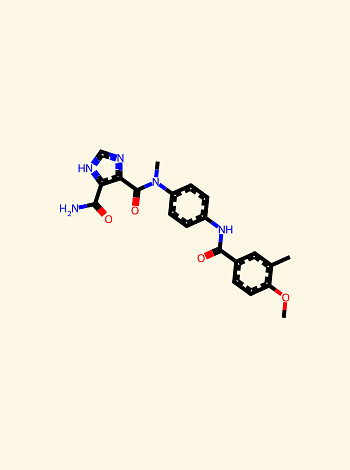 COc1ccc(C(=O)Nc2ccc(N(C)C(=O)c3nc[nH]c3C(N)=O)cc2)cc1C